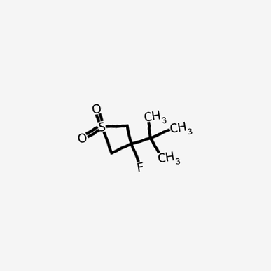 CC(C)(C)C1(F)CS(=O)(=O)C1